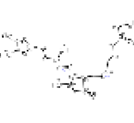 Cc1sc(CC[C@@H](O)/C=C/[C@@H]2[C@@H](C/C=C\CCCC(=O)CO)[C@@H](O)C[C@H]2O)cc1Cl